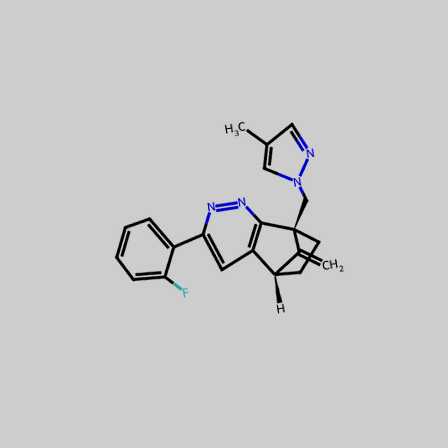 C=C1[C@@H]2CC[C@@]1(Cn1cc(C)cn1)c1nnc(-c3ccccc3F)cc12